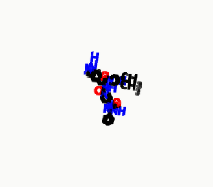 CN(C)C1CCN(C(=O)C(Cc2ccc3[nH]ncc3c2)NC(=O)N2CCC(n3nc(-c4ccccc4)[nH]c3=O)CC2)CC1